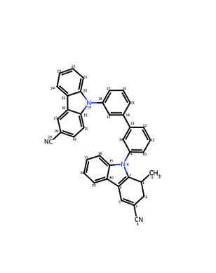 CC1CC(C#N)=Cc2c1n(-c1cccc(-c3cccc(-n4c5ccccc5c5cc(C#N)ccc54)c3)c1)c1ccccc21